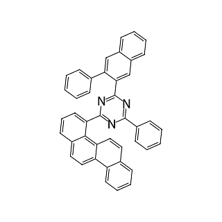 c1ccc(-c2nc(-c3cc4ccccc4cc3-c3ccccc3)nc(-c3cccc4ccc5c6ccccc6ccc5c34)n2)cc1